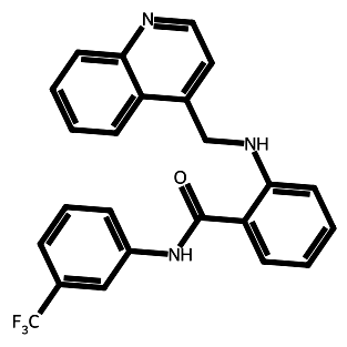 O=C(Nc1cccc(C(F)(F)F)c1)c1ccccc1NCc1ccnc2ccccc12